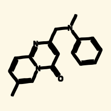 Cc1ccc2nc(CN(C)c3ccccc3)cc(=O)n2c1